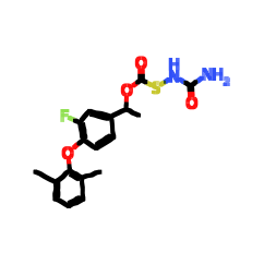 Cc1cccc(C)c1Oc1ccc(C(C)OC(=O)SNC(N)=O)cc1F